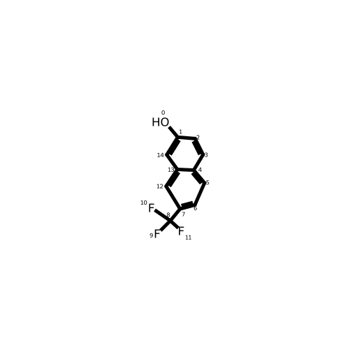 Oc1ccc2ccc(C(F)(F)F)cc2c1